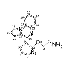 NCCOc1ncccc1-c1nc2ccccc2n2cccc12